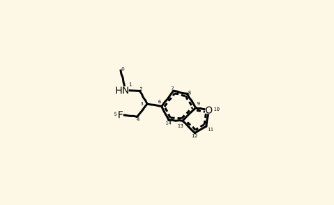 CNCC(CF)c1ccc2occc2c1